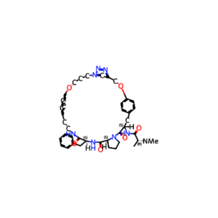 CN[C@H](C)C(=O)N[C@H]1Cc2ccc(cc2)OCc2cn(nn2)CCCOc2ccc(cc2)CCNC(=O)[C@H](Cc2ccccc2)NC(=O)[C@@H]2CCCN2C1=O